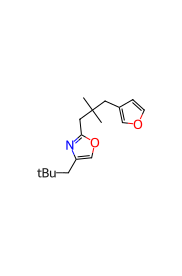 CC(C)(C)Cc1coc(CC(C)(C)Cc2ccoc2)n1